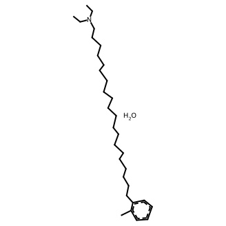 CCN(CC)CCCCCCCCCCCCCCCCCCCCc1ccccc1C.O